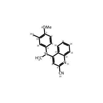 COc1ccc(N(C)c2cc(C#N)nc3ccccc23)cc1I